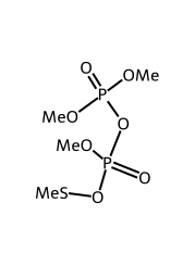 COP(=O)(OC)OP(=O)(OC)OSC